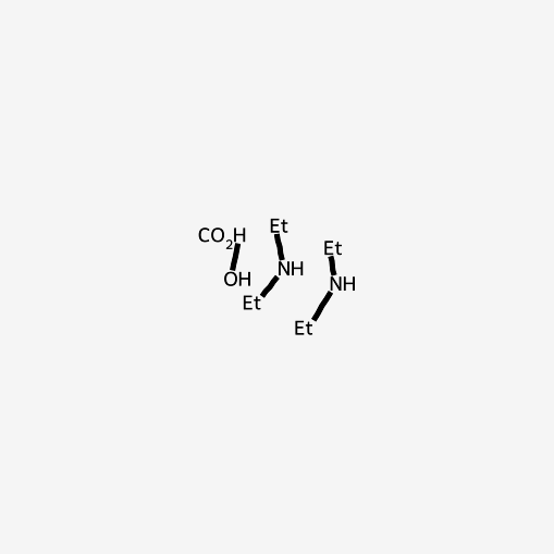 CCNCC.CCNCC.O=C(O)O